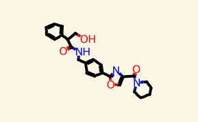 O=C(NCc1ccc(-c2nc(C(=O)N3CCCCC3)co2)cc1)C(CO)c1ccccc1